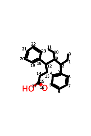 CCC(c1ccccc1)C(CC)C(CCC(=O)O)c1ccccc1